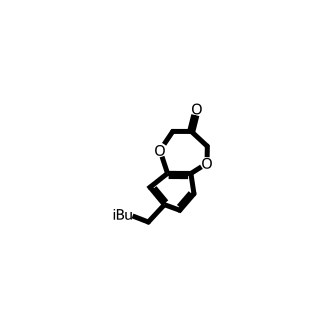 CCC(C)Cc1ccc2c(c1)OCC(=O)CO2